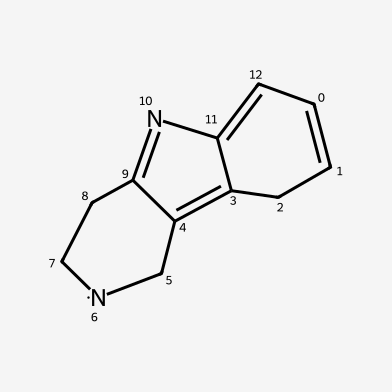 C1=CCC2=C3C[N]CCC3=NC2=C1